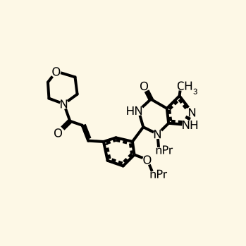 CCCOc1ccc(C=CC(=O)N2CCOCC2)cc1C1NC(=O)c2c(C)n[nH]c2N1CCC